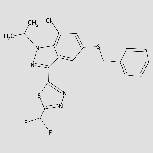 CC(C)n1nc(-c2nnc(C(F)F)s2)c2cc(SCc3ccccc3)cc(Cl)c21